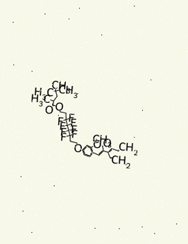 C=C/C=C(C=C)/C(C=O)=C/c1ccc(OCCC(F)(F)C(F)(F)C(F)(F)C(F)(F)CCOC(=O)C(C)CC(C)(C)C)cc1OC